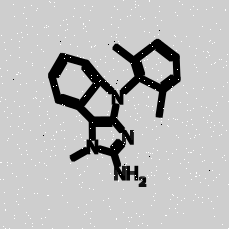 Cc1cccc(C)c1-n1c2ccccc2c2c1nc(N)n2C